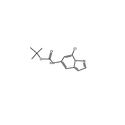 CC(C)(C)OC(=O)Nc1cc(Cl)n2nccc2c1